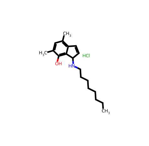 CCCCCCCCNC1C=Cc2c(C)cc(C)c(O)c21.Cl